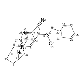 N#Cc1ccc(N2C3CCC2CN(C(=O)CC[S+]([O-])Cc2ccccc2)C3)nc1